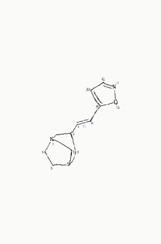 C(=C\C1CC2CCN1C2)/c1ccno1